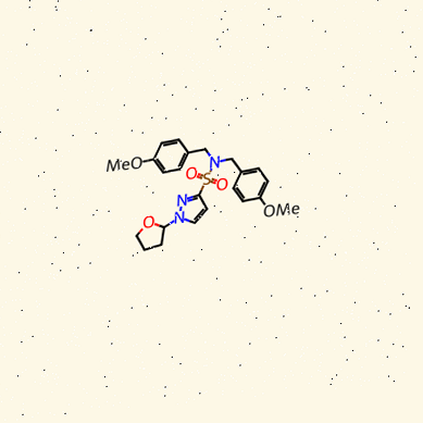 COc1ccc(CN(Cc2ccc(OC)cc2)S(=O)(=O)c2ccn(C3CCCO3)n2)cc1